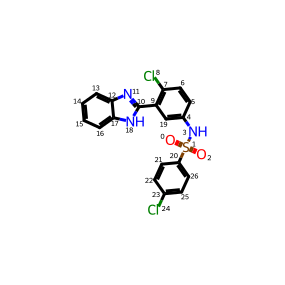 O=S(=O)(Nc1ccc(Cl)c(-c2nc3ccccc3[nH]2)c1)c1ccc(Cl)cc1